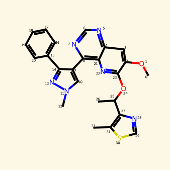 COc1cc2ncnc(-c3cn(C)nc3-c3ccccc3)c2nc1OC(C)c1ncsc1C